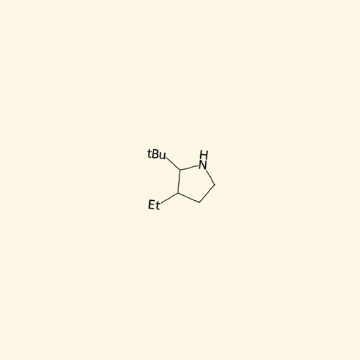 CCC1CCNC1C(C)(C)C